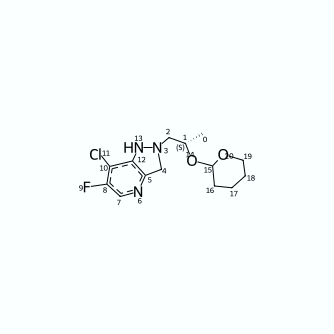 C[C@@H](CN1Cc2ncc(F)c(Cl)c2N1)OC1CCCCO1